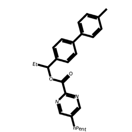 CCCCCc1cnc(C(=O)OC(CC)c2ccc(-c3ccc(C)cc3)cc2)nc1